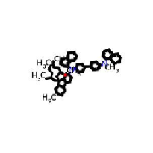 CCCCC(CC)CC1(CC(CC)CCCC)c2cc(C)ccc2-c2ccc(N(c3ccc(-c4ccc(N(C)c5cccc6ccccc56)cc4)cc3)c3cccc4ccccc34)cc21